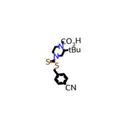 CC(C)(C)C1CN(C(=S)SCc2ccc(C#N)cc2)CCN1C(=O)O